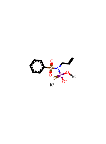 C=CCN(P([O-])(=S)OCC)S(=O)(=O)c1ccccc1.[K+]